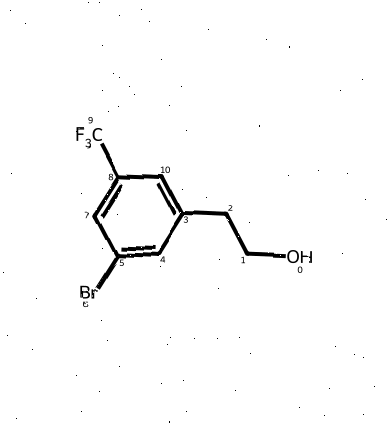 OCCc1cc(Br)cc(C(F)(F)F)c1